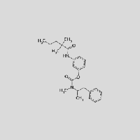 CCCC(C)(C)C(=O)Nc1cccc(OC(=O)N(C)C(C)Cc2ccccc2)c1